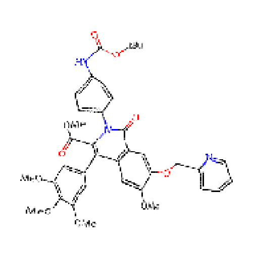 COC(=O)c1c(-c2cc(OC)c(OC)c(OC)c2)c2cc(OC)c(OCc3ccccn3)cc2c(=O)n1-c1ccc(NC(=O)OC(C)(C)C)cc1